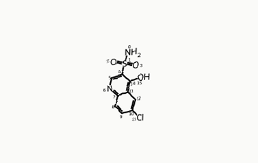 NS(=O)(=O)c1cnc2ccc(Cl)cc2c1O